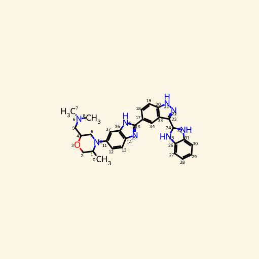 CC1COC(CN(C)C)CN1c1ccc2nc(-c3ccc4[nH]nc(C5Nc6ccccc6N5)c4c3)[nH]c2c1